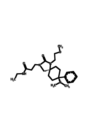 CCNC(=O)CCN1C[C@]2(CC[C@](c3ccccc3)(N(C)C)CC2)N(CCOC)C1=O